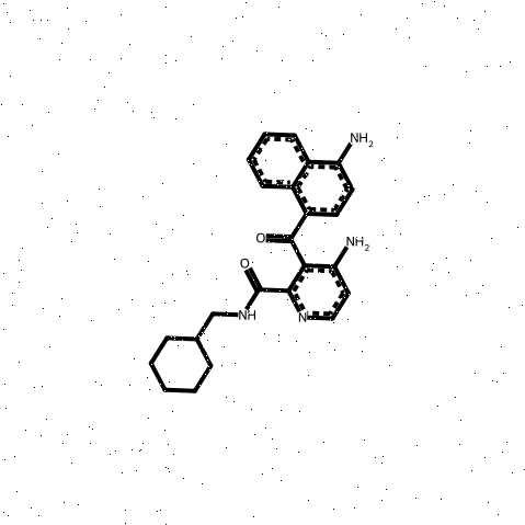 Nc1ccnc(C(=O)NCC2CCCCC2)c1C(=O)c1ccc(N)c2ccccc12